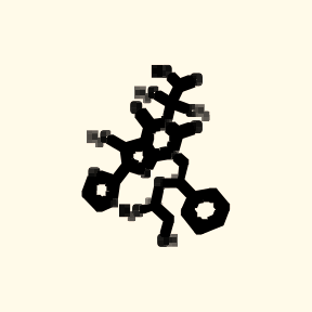 Cc1c(-c2ncco2)sc2c1c(=O)n(C(C)(C)C(=O)O)c(=O)n2C[C@H](O[C@H](C)CO)c1ccccc1